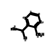 CCCCC(CC)c1nccnc1C(=O)O